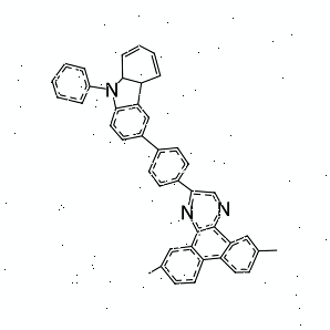 Cc1ccc2c3ccc(C)cc3c3nc(-c4ccc(-c5ccc6c(c5)C5C=CC=CC5N6c5ccccc5)cc4)cnc3c2c1